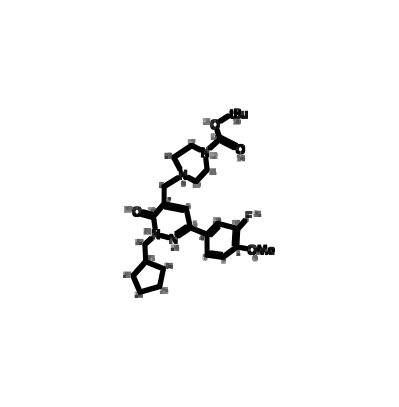 COc1ccc(-c2cc(CN3CCN(C(=O)OC(C)(C)C)CC3)c(=O)n(CC3CCCC3)n2)cc1F